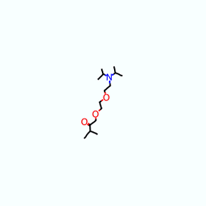 CC(C)C(=O)COCCOCCN(C(C)C)C(C)C